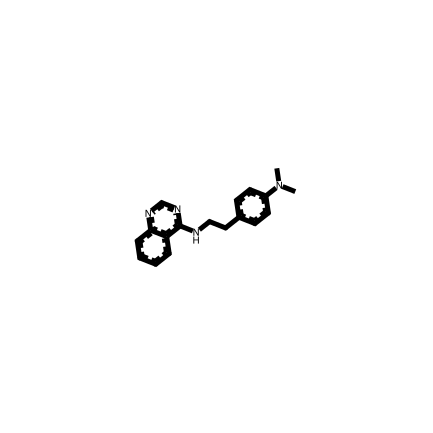 CN(C)c1ccc(CCNc2ncnc3ccccc23)cc1